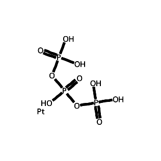 O=P(O)(O)OP(=O)(O)OP(=O)(O)O.[Pt]